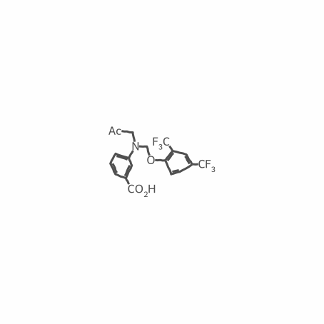 CC(=O)CN(COc1ccc(C(F)(F)F)cc1C(F)(F)F)c1cccc(C(=O)O)c1